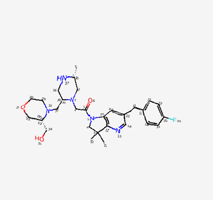 C[C@@H]1CN(CC(=O)N2CC(C)(C)c3ncc(Cc4ccc(F)cc4)cc32)[C@@H](CN2CCOC[C@H]2CO)CN1